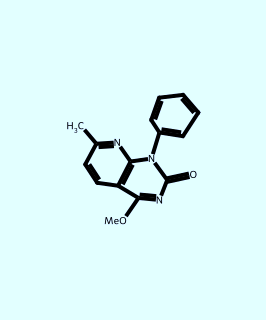 COc1nc(=O)n(-c2ccccc2)c2nc(C)ccc12